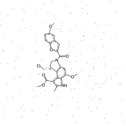 COC(=O)c1c(C)[nH]c2c(OC)cc3c(c12)[C@H](CCl)CN3C(=O)c1cc2cc(OC)ccc2o1